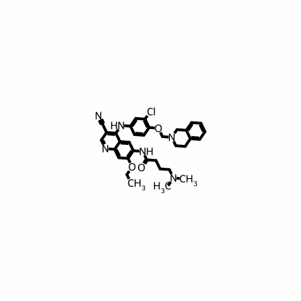 CCOc1cc2ncc(C#N)c(Nc3ccc(OCN4CCc5ccccc5C4)c(Cl)c3)c2cc1NC(=O)CCCN(C)C